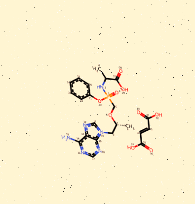 CC(NP(=O)(CO[C@H](C)Cn1cnc2c(N)ncnc21)Oc1ccccc1)C(=O)O.O=C(O)/C=C/C(=O)O